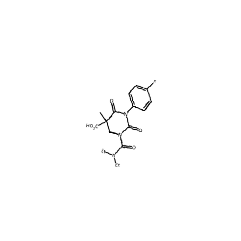 CCN(CC)C(=O)N1CC(C)(C(=O)O)C(=O)N(c2ccc(F)cc2)C1=O